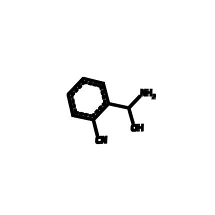 N#Cc1ccccc1C(N)O